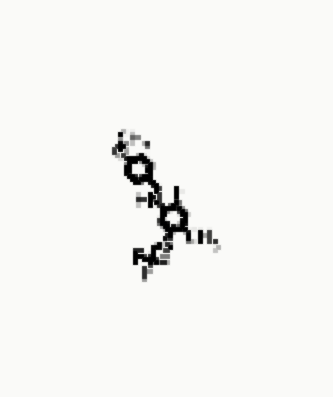 COc1ccc(CNc2cc(SCC(F)(F)F)c(C)cc2F)cc1